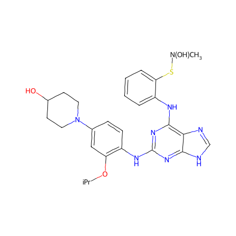 CC(C)Oc1cc(N2CCC(O)CC2)ccc1Nc1nc(Nc2ccccc2SN(C)O)c2nc[nH]c2n1